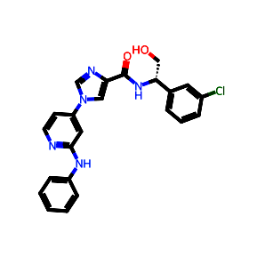 O=C(N[C@H](CO)c1cccc(Cl)c1)c1cn(-c2ccnc(Nc3ccccc3)c2)cn1